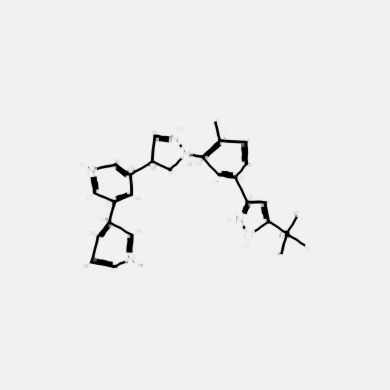 Cc1ccc(-c2cc(C(C)(C)C)on2)cc1N1CC(c2cncc(-c3cccnc3)c2)C=N1